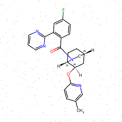 Cc1ccc(O[C@@H]2C[C@H]3CC[C@@H]2N(C(=O)c2ccc(F)cc2-c2ncccn2)C3)nc1